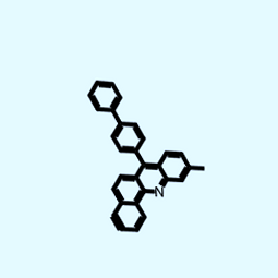 Cc1ccc2c(-c3ccc(-c4ccccc4)cc3)c3ccc4c#cccc4c3nc2c1